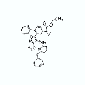 CCOC(=O)C1(c2ccc(-c3ccccc3)c(-c3onc(C)c3Nc3cccc(Sc4ccccc4)n3)c2)CC1